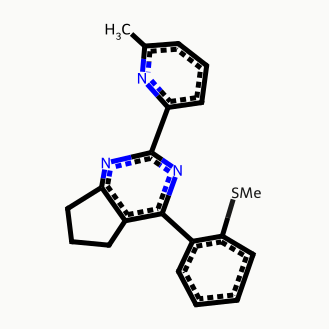 CSc1ccccc1-c1nc(-c2cccc(C)n2)nc2c1CCC2